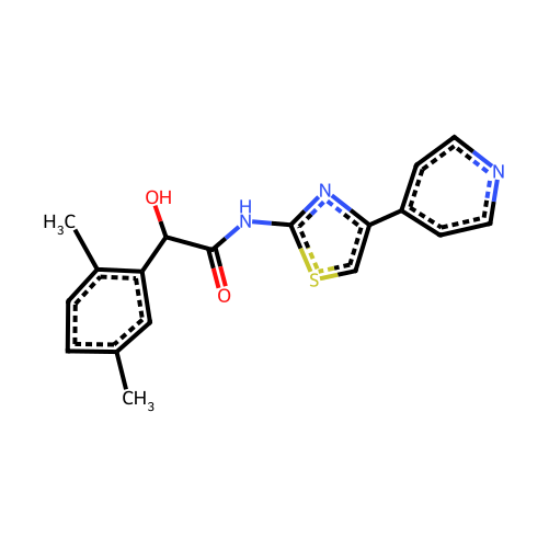 Cc1ccc(C)c(C(O)C(=O)Nc2nc(-c3ccncc3)cs2)c1